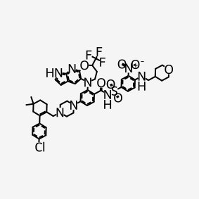 CC1(C)CCC(CN2CCN(c3ccc(C(=O)NS(=O)(=O)c4ccc(NCC5CCOCC5)c([N+](=O)[O-])c4)c(N4CCC(C(F)(F)F)Oc5nc6[nH]ccc6cc54)c3)CC2)=C(c2ccc(Cl)cc2)C1